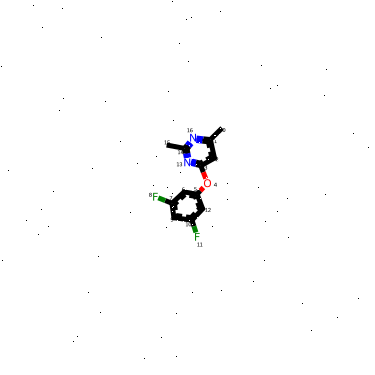 Cc1cc(Oc2cc(F)cc(F)c2)nc(C)n1